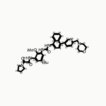 COc1c(NC(=O)Nc2ccc(-c3ccc(CN4CCOCC4)nc3)c3ccccc23)cc(C(C)(C)C)cc1NC(=O)C(=O)N1CCCC1